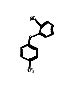 N#Cc1ccccc1Oc1ccc(C(F)(F)F)cc1